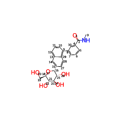 CNC(=O)c1cccc(-c2cccc3cc([C@H]4O[C@H](CO)[C@@H](O)[C@H](O)[C@H]4O)ccc23)c1